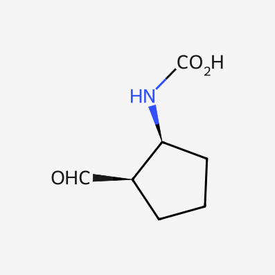 O=C[C@@H]1CCC[C@@H]1NC(=O)O